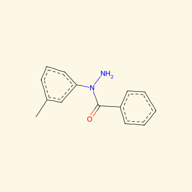 Cc1cccc(N(N)C(=O)c2ccccc2)c1